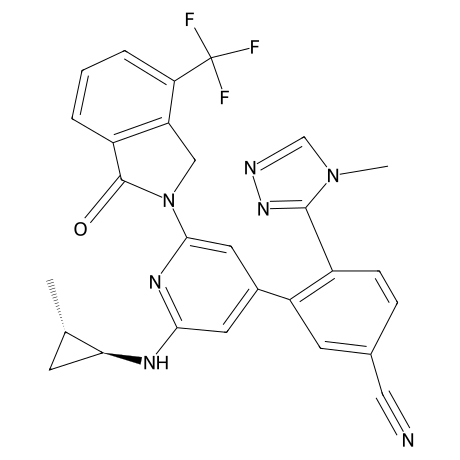 C[C@H]1C[C@@H]1Nc1cc(-c2cc(C#N)ccc2-c2nncn2C)cc(N2Cc3c(cccc3C(F)(F)F)C2=O)n1